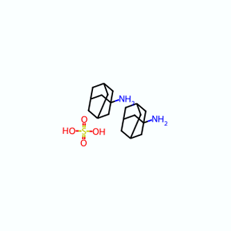 NC12CC3CC(CC(C3)C1)C2.NC12CC3CC(CC(C3)C1)C2.O=S(=O)(O)O